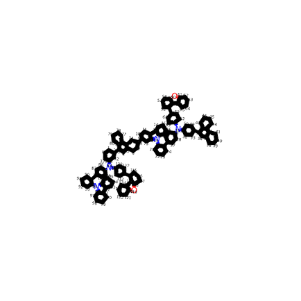 c1cc(-c2cc3ccc(-c4ccc5c6ccccc6n(-c6ccccc6-c6ccc(N(c7ccc(-c8cc9ccccc9c9ccccc89)cc7)c7ccc(-c8cccc9oc%10ccccc%10c89)cc7)cc6)c5c4)cc3c3ccccc23)cc(N(c2ccc(-c3ccccc3-n3c4ccccc4c4ccccc43)cc2)c2ccc(-c3cccc4oc5ccccc5c34)cc2)c1